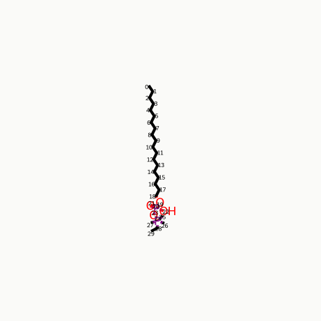 CCCCCCCCCCCCCCCCCCCOP(=O)(O)OP(C)(C)(C)CC